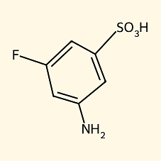 Nc1cc(F)cc(S(=O)(=O)O)c1